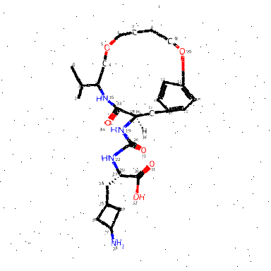 CC(C)C1COCCCCOc2ccc(cc2)C[C@@H](NC(=O)N[C@@H](CC2CC(N)C2)C(=O)O)C(=O)N1